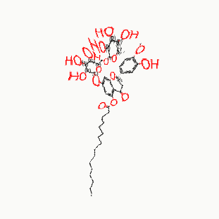 CCCCCCCCCCCCCCCC(=O)Oc1cc(O[C@@H]2O[C@H](CO[C@@H]3O[C@@H](C)[C@H](O)[C@@H](O)[C@H]3O)[C@@H](O)[C@H](O)[C@H]2O)cc2c1C(=O)C[C@@H](c1ccc(OC)c(O)c1)O2